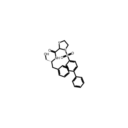 O=C(N[C@@H](CO)Cc1ccccc1)C1SCCN1S(=O)(=O)c1ccc(-c2ccccc2)cc1